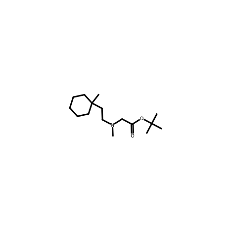 CN(CCC1(C)CCCCC1)CC(=O)OC(C)(C)C